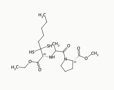 CCCCCC(S)(S)[C@H](NC(C)C(=O)N1CCC[C@H]1C(=O)OC)C(=O)OCC